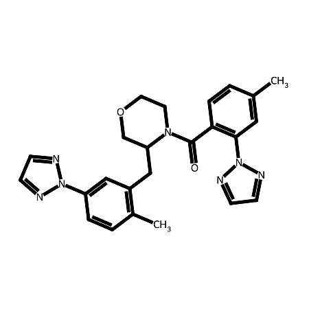 Cc1ccc(C(=O)N2CCOCC2Cc2cc(-n3nccn3)ccc2C)c(-n2nccn2)c1